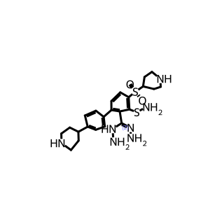 N/N=C(\NN)c1c(-c2ccc(C3CCNCC3)cc2)ccc(S(=O)(=O)C2CCNCC2)c1SN